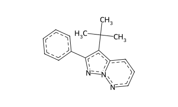 CC(C)(C)c1c(-c2ccccc2)nn2ncccc12